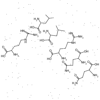 CC(C)CC(N)C(=O)O.CC(C)CC(N)C(=O)O.N=C(N)NCCCC(N)C(=O)O.N=C(N)NCCCC(N)C(=O)O.NC(=O)CCC(N)C(=O)O.NC(=O)CCC(N)C(=O)O